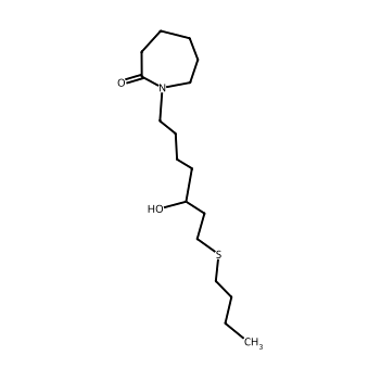 CCCCSCCC(O)CCCCN1CCCCCC1=O